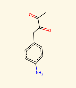 CC(=O)C(=O)Cc1ccc(N)cc1